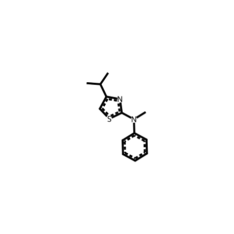 CC(C)c1csc(N(C)c2ccccc2)n1